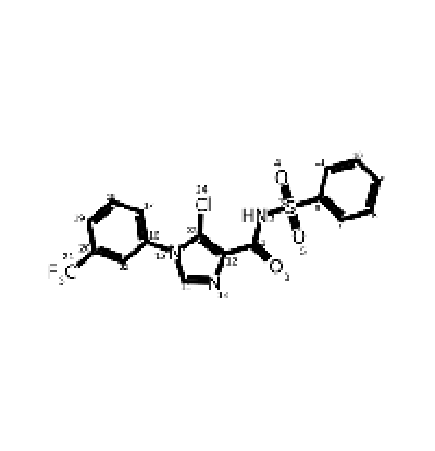 O=C(NS(=O)(=O)c1ccccc1)c1ncn(-c2cccc(C(F)(F)F)c2)c1Cl